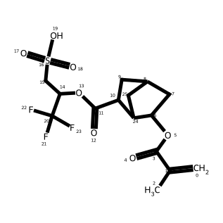 C=C(C)C(=O)OC1CC2CC(C(=O)OC(CS(=O)(=O)O)C(F)(F)F)C1C2